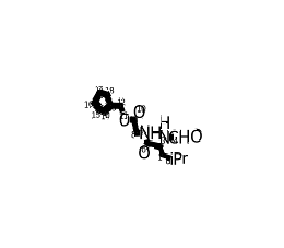 CC(C)CC(NC=O)C(=O)NCC(=O)OCc1ccccc1